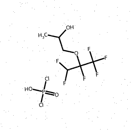 CC(O)COC(F)(C(F)F)C(F)(F)F.O=P(O)(Cl)Cl